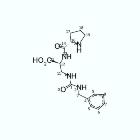 O=C(NCc1ccccc1)NC[C@H](NC(=O)[C@@H]1CCCN1)C(=O)O